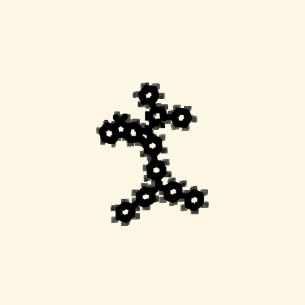 CC1(C)c2ccccc2-c2cc3c4cc(-c5ccc(N(c6ccc(-c7ccccc7)cc6)c6ccc(-c7ccccc7)cc6)cc5)ccc4n(-c4nc(-c5ccccc5)cc(-c5ccccc5)n4)c3cc21